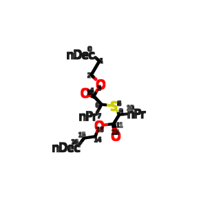 CCCCCCCCCCCCOC(=O)C(CCC)SC(CCC)C(=O)OCCCCCCCCCCCC